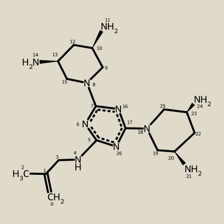 C=C(C)CNc1nc(N2C[C@H](N)C[C@H](N)C2)nc(N2C[C@H](N)C[C@H](N)C2)n1